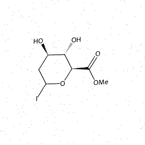 COC(=O)[C@H]1OC(I)C[C@@H](O)[C@@H]1O